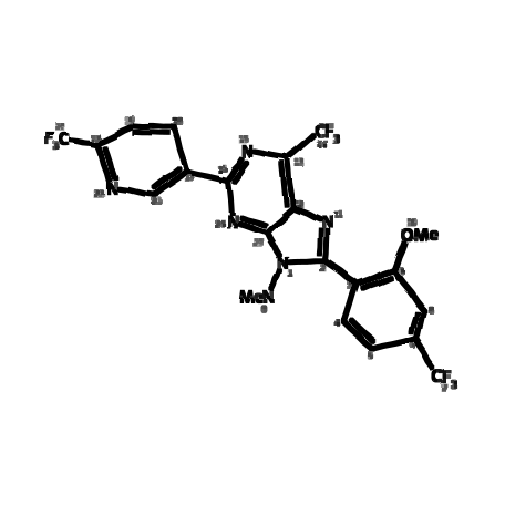 CNn1c(-c2ccc(C(F)(F)F)cc2OC)nc2c(C(F)(F)F)nc(-c3ccc(C(F)(F)F)nc3)nc21